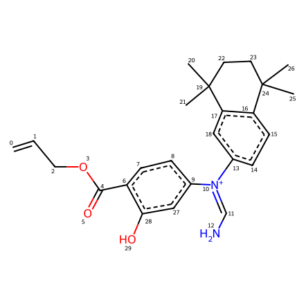 C=CCOC(=O)c1ccc([N+](=CN)c2ccc3c(c2)C(C)(C)CCC3(C)C)cc1O